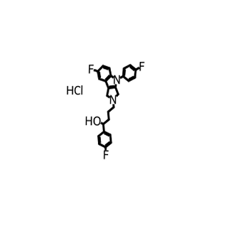 Cl.OC(CCCN1Cc2c(n(-c3ccc(F)cc3)c3ccc(F)cc23)C1)c1ccc(F)cc1